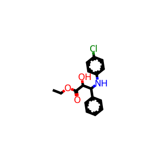 CCOC(=O)C(O)C(Nc1ccc(Cl)cc1)c1ccccc1